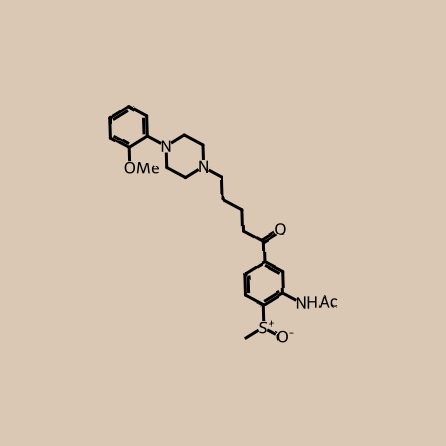 COc1ccccc1N1CCN(CCCCC(=O)c2ccc([S+](C)[O-])c(NC(C)=O)c2)CC1